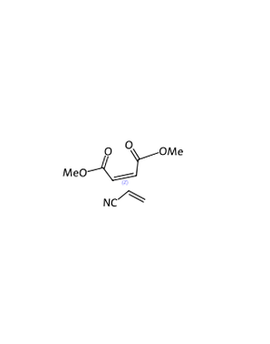 C=CC#N.COC(=O)/C=C\C(=O)OC